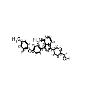 Cc1ccc(Oc2ccc(-c3nc(C4CCC(CO)OC4)n4ccnc(N)c34)cc2)c(F)c1